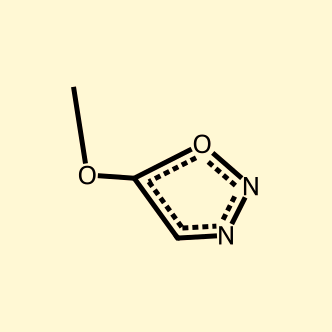 COc1cnno1